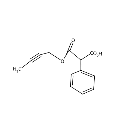 CC#CCOC(=O)C(C(=O)O)c1ccccc1